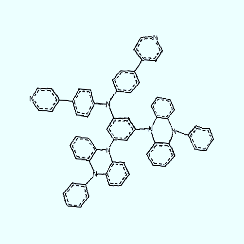 c1ccc(N2c3ccccc3N(c3cc(N(c4ccc(-c5ccncc5)cc4)c4ccc(-c5ccncc5)cc4)cc(N4c5ccccc5N(c5ccccc5)c5ccccc54)c3)c3ccccc32)cc1